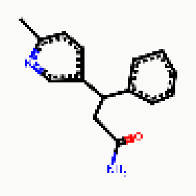 Cc1ccc(C(CC(N)=O)c2ccccc2)cn1